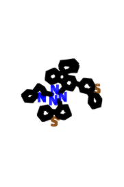 c1ccc2c(c1)-c1c(-c3nc(-c4ccc5ccccc5n4)nc(-c4cccc5sc6ccccc6c45)n3)cc(-c3ccc4sc5ccccc5c4c3)cc1C21C2CC3CC(C2)CC1C3